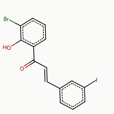 O=C(C=Cc1cccc(I)c1)c1cccc(Br)c1O